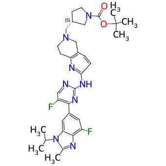 Cc1nc2c(F)cc(-c3nc(Nc4ccc5c(n4)CCN(C[C@@H]4CCN(C(=O)OC(C)(C)C)C4)C5)ncc3F)cc2n1C(C)C